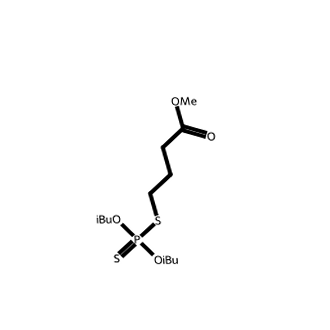 COC(=O)CCCSP(=S)(OCC(C)C)OCC(C)C